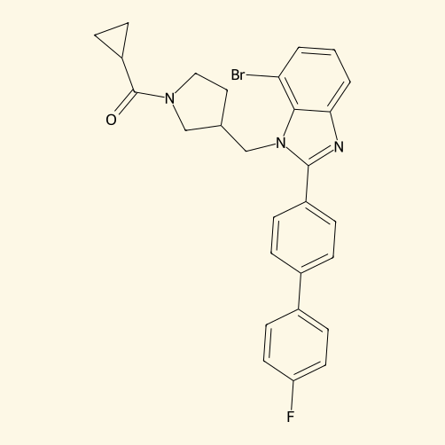 O=C(C1CC1)N1CCC(Cn2c(-c3ccc(-c4ccc(F)cc4)cc3)nc3cccc(Br)c32)C1